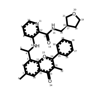 Cc1cc(C(C)Nc2cccnc2C(=O)NC[C@@H]2CCOC2)c2oc(-c3ccccc3)c(C)c(=O)c2c1